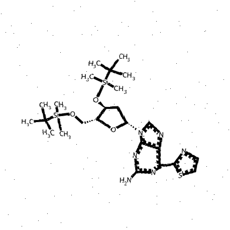 CC(C)(C)[Si](C)(C)OC[C@H]1O[C@@H](n2cnc3c(-c4nccs4)nc(N)nc32)C[C@@H]1O[Si](C)(C)C(C)(C)C